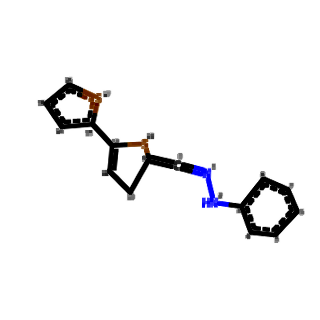 C(=NNc1ccccc1)=C1CC=C(c2cccs2)S1